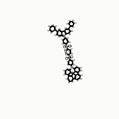 O=S(=O)(c1ccc(N2c3ccccc3C(c3ccccc3)(c3ccccc3)c3ccccc32)cc1)c1ccc(S(=O)(=O)c2ccc(-n3c4ccc(-c5ccccc5)cc4c4cc(-c5ccccc5)ccc43)cc2)nn1